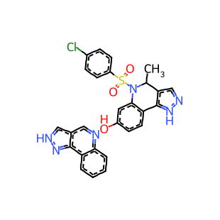 CC1c2cn[nH]c2-c2ccc(O)cc2N1S(=O)(=O)c1ccc(Cl)cc1.c1ccc2c(c1)ncc1c[nH]nc12